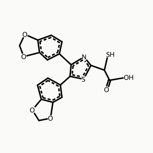 O=C(O)C(S)c1nc(-c2ccc3c(c2)OCO3)c(-c2ccc3c(c2)OCO3)s1